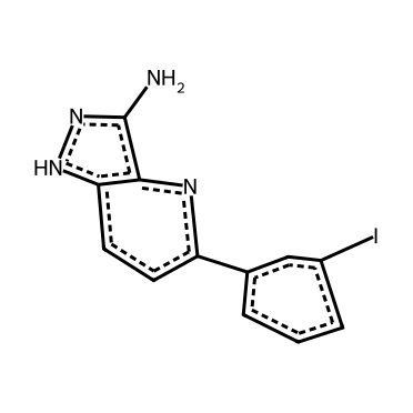 Nc1n[nH]c2ccc(-c3cccc(I)c3)nc12